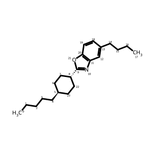 CCCCC[C@H]1CC[C@H](c2nc3cc(CCCC)ccc3o2)CC1